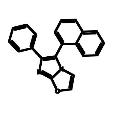 c1ccc(-c2nc3occn3c2-c2cccc3ccccc23)cc1